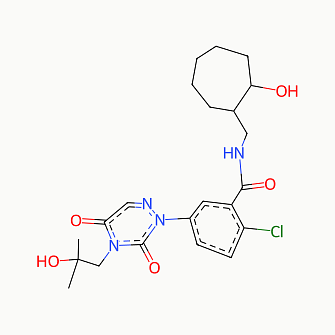 CC(C)(O)Cn1c(=O)cnn(-c2ccc(Cl)c(C(=O)NCC3CCCCCC3O)c2)c1=O